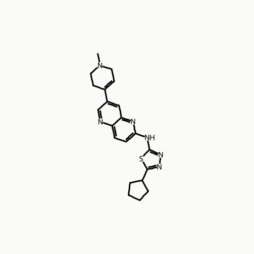 CN1CC=C(c2cnc3ccc(Nc4nnc(C5CCCC5)s4)nc3c2)CC1